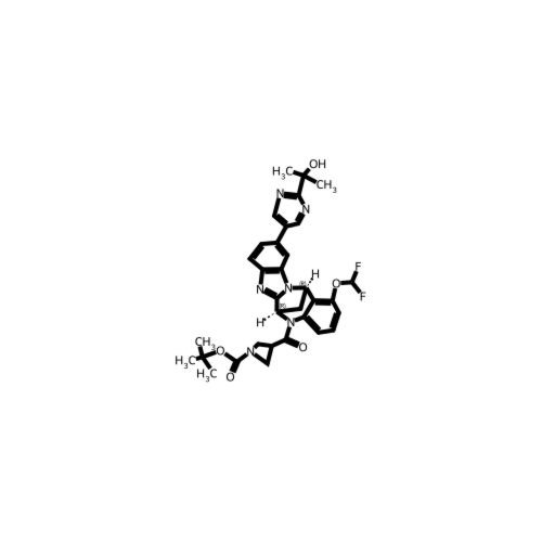 CC(C)(C)OC(=O)N1CC(C(=O)N2c3cccc(OC(F)F)c3[C@H]3C[C@@H]2c2nc4ccc(-c5cnc(C(C)(C)O)nc5)cc4n23)C1